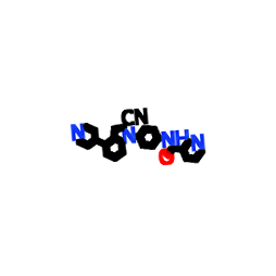 N#Cc1cc2c(-c3ccncc3)cccc2n1-c1ccc(NC(=O)c2cccnc2)cc1